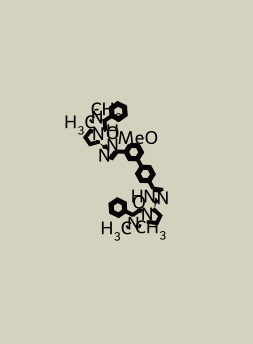 COc1ccc(-c2ccc(-c3cnc([C@@H]4CCCN4C(=O)C(c4ccccc4)N(C)C)[nH]3)cc2)cc1-c1cnc([C@@H]2CCCN2C(=O)[C@@H](c2ccccc2)N(C)C)[nH]1